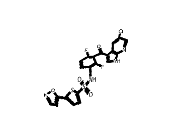 O=C(c1c(F)ccc(NS(=O)(=O)c2ccc(-c3ccno3)s2)c1F)c1c[nH]c2ncc(Cl)cc12